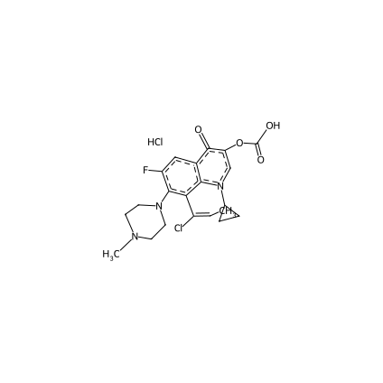 C/C=C(/Cl)c1c(N2CCN(C)CC2)c(F)cc2c(=O)c(OC(=O)O)cn(C3CC3)c12.Cl